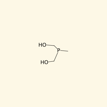 CP(CO)CO